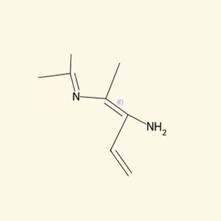 C=C/C(N)=C(/C)N=C(C)C